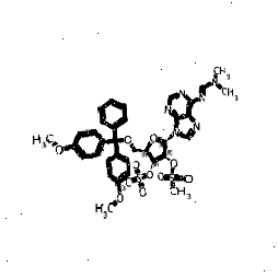 COc1ccc(C(OC[C@H]2O[C@@H](n3cnc4c(N=CN(C)C)ncnc43)[C@H](OS(C)(=O)=O)[C@@H]2OS(C)(=O)=O)(c2ccccc2)c2ccc(OC)cc2)cc1